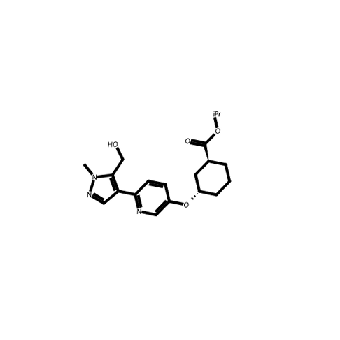 CC(C)OC(=O)[C@H]1CCC[C@H](Oc2ccc(-c3cnn(C)c3CO)nc2)C1